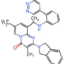 Cc1cc(C(C)Nc2ccccc2-c2ccnnc2)c2nc(N3Cc4ccccc4C3)c(C)c(=O)n2c1